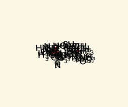 CC(C)(C)[Si](C)(C)O[C@@H]1[C@@H]2OP(=O)(S)OC[C@H]3O[C@@H](n4cnc5c(=O)[nH]ncc54)[C@H](OP(=S)(OCCC#N)OC[C@H]2O[C@H]1n1cnc2c(NC(=O)c4ccccc4)ncnc21)[C@@H]3O[Si](C)(C)C(C)(C)C